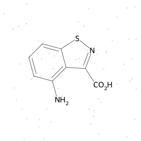 Nc1cccc2snc(C(=O)O)c12